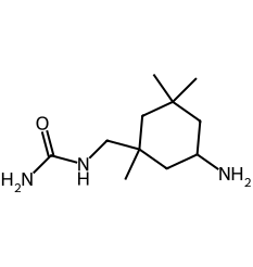 CC1(C)CC(N)CC(C)(CNC(N)=O)C1